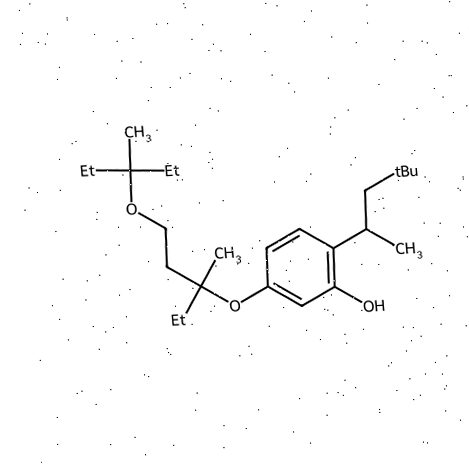 CCC(C)(CC)OCCC(C)(CC)Oc1ccc(C(C)CC(C)(C)C)c(O)c1